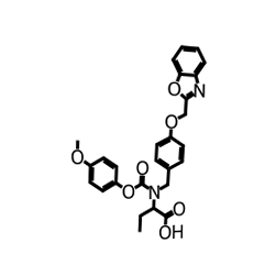 CCC(C(=O)O)N(Cc1ccc(OCc2nc3ccccc3o2)cc1)C(=O)Oc1ccc(OC)cc1